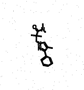 Cc1cn(CC(C)(C)C(=O)N(C)C)nc1-c1ccccc1